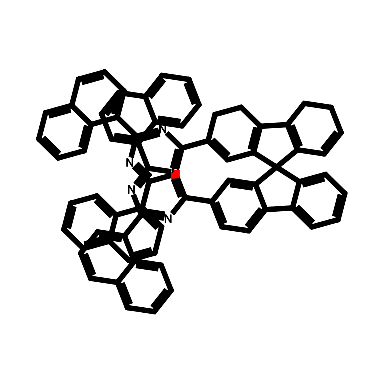 C1=CC2=C(CC1)C1=C(C=C(c3nc(-c4cccc5ccccc45)nc(-c4cccc5ccccc45)n3)CC1)C21c2ccccc2-c2ccc(-c3nc(-c4cccc5ccccc45)nc(-c4cccc5ccccc45)n3)cc21